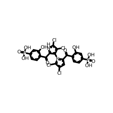 O=C(c1ccc(P(=O)(O)O)cc1O)c1[nH]c(Cl)c(Cl)c1-n1c(C(=O)c2ccc(P(=O)(O)O)cc2O)cc(Cl)c1Cl